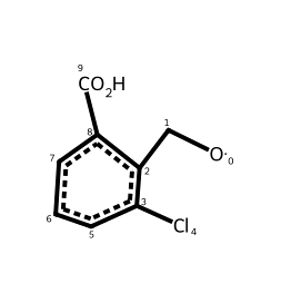 [O]Cc1c(Cl)cccc1C(=O)O